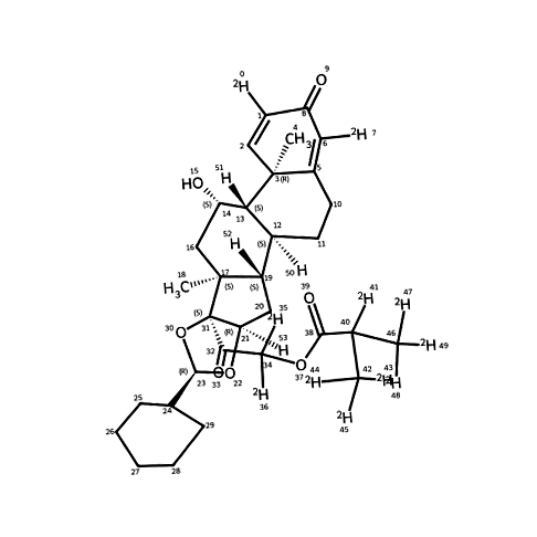 [2H]C1=C[C@@]2(C)C(=C([2H])C1=O)CC[C@@H]1[C@@H]2[C@@H](O)C[C@@]2(C)[C@H]1C[C@H]1O[C@@H](C3CCCCC3)O[C@]12C(=O)C([2H])([2H])OC(=O)C([2H])(C([2H])([2H])[2H])C([2H])([2H])[2H]